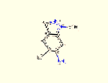 CCc1cc2cnn(C)c2cc1N